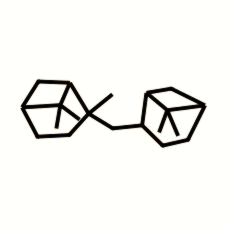 CC1(CC2CCC3CC2C3(C)C)CCC2CC1C2(C)C